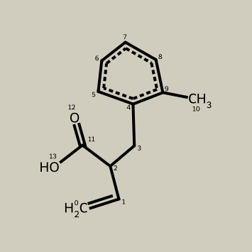 C=CC(Cc1ccccc1C)C(=O)O